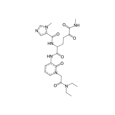 CCN(CC)C(=O)Cn1cccc(NC(=O)C(CCC(=O)C(=O)NC)NC(=O)c2cncn2C)c1=O